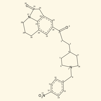 O=C(CCC1CCN(Cc2ccc([N+](=O)[O-])cc2)CC1)c1cc2c3c(c1)CC(=O)N3CCC2